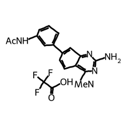 CNc1nc(N)nc2cc(-c3cccc(NC(C)=O)c3)ccc12.O=C(O)C(F)(F)F